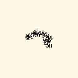 CC[C@H]1[C@@H](O)[C@@H]2[C@H](CC[C@]3(C)[C@@H]([C@H](C)COC(=O)NS(=O)(=O)c4ccc(-n5cccn5)cc4)CC[C@@H]23)[C@@]2(C)CC[C@@H](O)C[C@@H]12